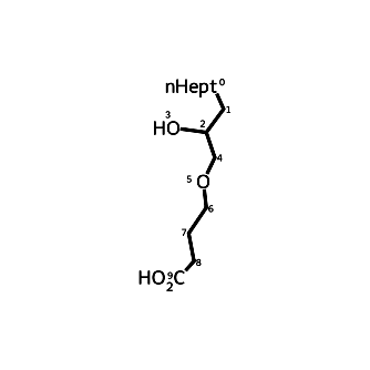 CCCCCCCCC(O)COCCCC(=O)O